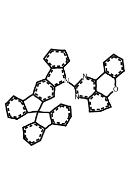 c1ccc2c(c1)Oc1cccc3nc(-n4c5ccccc5c5cc6c(cc54)C4(c5ccccc5-c5ccccc54)c4ccccc4-6)nc-2c13